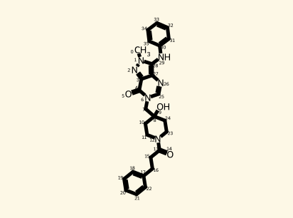 Cn1nc2c(=O)n(CC3(O)CCN(C(=O)CCc4ccccc4)CC3)cnc2c1Nc1ccccc1